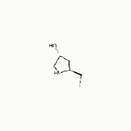 O[C@H]1CN[C@H](CI)C1